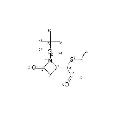 CCSC(C(C)=O)C1CC(=O)N1[Si](C)(C)C(C)(C)C